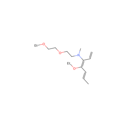 C=C/C(=C(\C=C\C)OCC)N(C)CCOCCOCC